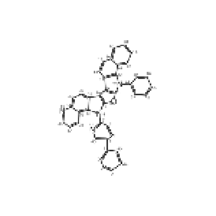 c1ccc(-c2ccc(-n3c4oc5c(c6ccc7ccccc7c6n5-c5ccccc5)c4c4ccc5ncccc5c43)nc2)cc1